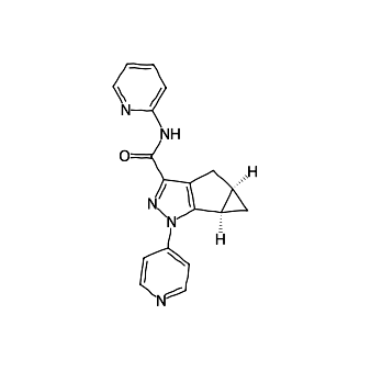 O=C(Nc1ccccn1)c1nn(-c2ccncc2)c2c1C[C@H]1C[C@@H]21